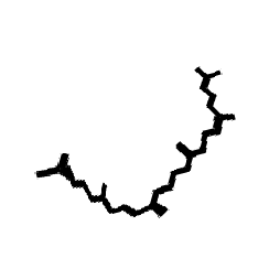 C=C(C=CCCC(=C)CCC=C(C)CCC=C(C)C)CC/C=C(\C)CCC=C(C)C